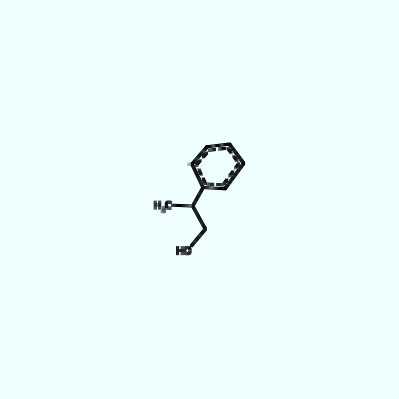 CC(CO)c1[c]cccc1